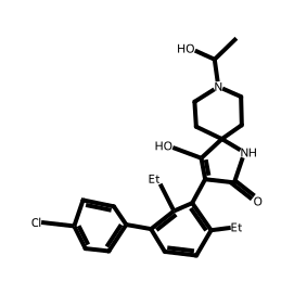 CCc1ccc(-c2ccc(Cl)cc2)c(CC)c1C1=C(O)C2(CCN(C(C)O)CC2)NC1=O